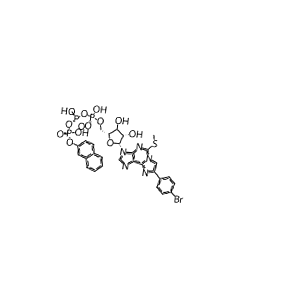 CSc1nc2c(ncn2[C@@H]2O[C@H](COP(=O)(O)OP(=O)(O)OP(=O)(O)Oc3ccc4ccccc4c3)C(O)[C@@H]2O)c2nc(-c3ccc(Br)cc3)cn12